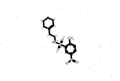 Cc1ccc([N+](=O)[O-])cc1S(=O)(=O)NCCC1=CCCCC1